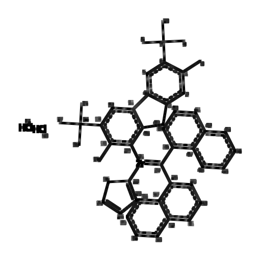 Cc1cc2c(cc1C(C)(C)C)-c1cc(C(C)(C)C)c(C)[c]([Zr]([C]3=CC=CC3)=[C](c3cccc4ccccc34)c3cccc4ccccc34)c1C2.Cl.Cl